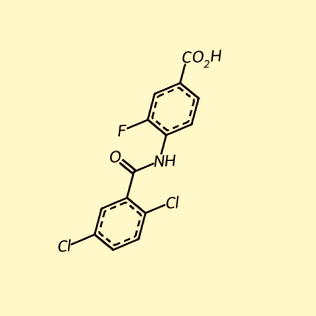 O=C(O)c1ccc(NC(=O)c2cc(Cl)ccc2Cl)c(F)c1